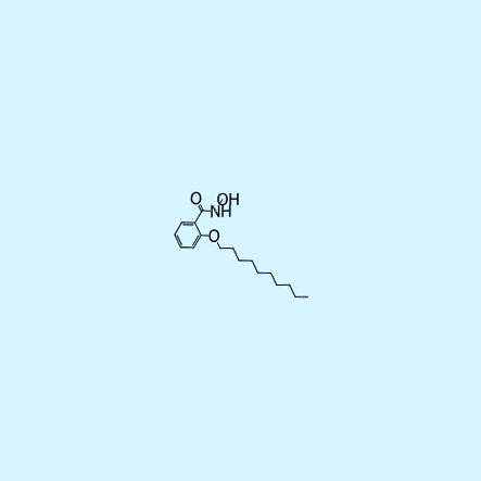 CCCCCCCCCCOc1ccccc1C(=O)NO